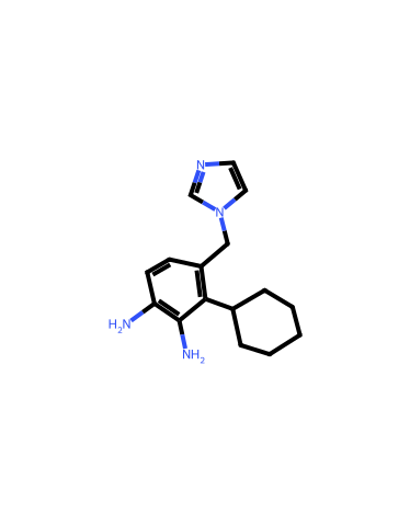 Nc1ccc(Cn2ccnc2)c(C2CCCCC2)c1N